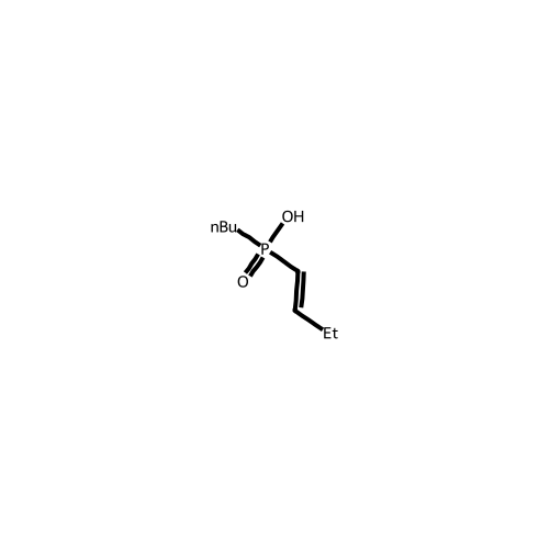 CCC=CP(=O)(O)CCCC